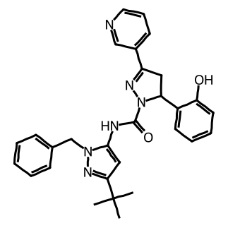 CC(C)(C)c1cc(NC(=O)N2N=C(c3cccnc3)CC2c2ccccc2O)n(Cc2ccccc2)n1